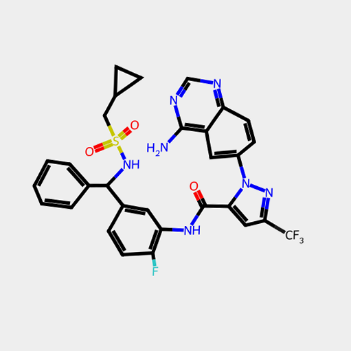 Nc1ncnc2ccc(-n3nc(C(F)(F)F)cc3C(=O)Nc3cc(C(NS(=O)(=O)CC4CC4)c4ccccc4)ccc3F)cc12